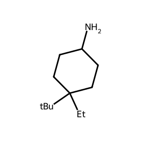 CCC1(C(C)(C)C)CCC(N)CC1